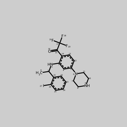 CC(Nc1cc(N2CCNCC2)ccc1C(=O)C(F)(F)F)c1ccccc1I